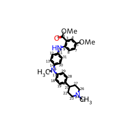 COC(=O)c1cc(OC)ccc1Nc1ccc(N(C)c2ccc(C3CCN(C)CC3)cc2)cc1